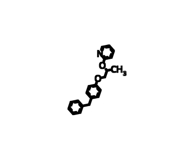 CC(COc1ccc(Cc2ccccc2)cc1)Oc1ccccn1